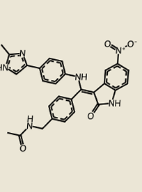 CC(=O)NCc1ccc(C(Nc2ccc(-c3c[nH]c(C)n3)cc2)=C2C(=O)Nc3ccc([N+](=O)[O-])cc32)cc1